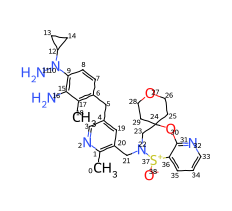 Cc1ncc(Cc2ccc(N(N)C3CC3)c(N)c2C)cc1CN1CC2(CCOCC2)Oc2ncccc2[S+]1[O-]